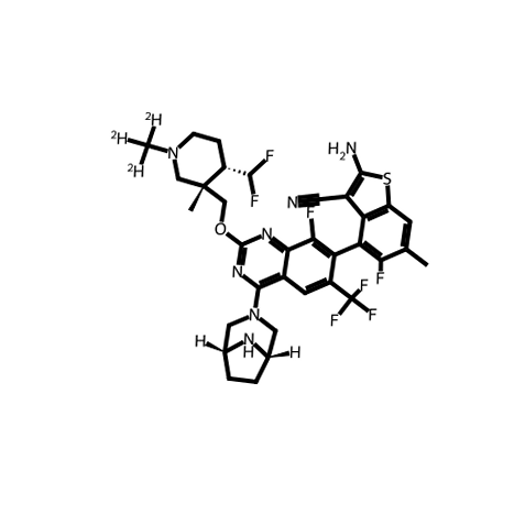 [2H]C([2H])([2H])N1CC[C@H](C(F)F)[C@](C)(COc2nc(N3C[C@H]4CC[C@@H](C3)N4)c3cc(C(F)(F)F)c(-c4c(F)c(C)cc5sc(N)c(C#N)c45)c(F)c3n2)C1